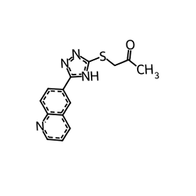 CC(=O)CSc1nnc(-c2ccc3ncccc3c2)[nH]1